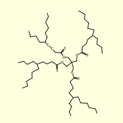 CCCCCCC(CCCC)CCCC(=S)OCC(COC(=S)CCCC(CCCC)CCCCCC)(COC(=S)CCCC(CCCC)CCCCCC)COC(=S)CCCC(CCCC)CCCCCC